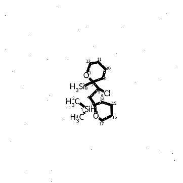 C[SiH](C)C1(CC(Cl)C2([SiH3])CCCCO2)CCCCO1